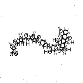 COc1cccc2c1C(=O)c1c(O)c3c(c(O)c1C2=O)C[C@](O)(C(C)=O)C[C@H]3OC1CC(NCc2ccc(NC(=O)c3cc(NC(=O)c4cc(NC(=O)c5cc([N+](=O)[O-])cn5C)cn4C)cn3C)cc2)C(O)C(C)O1